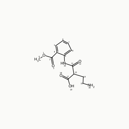 COC(=O)c1ccccc1NC(=O)C(CCN)C(=O)O